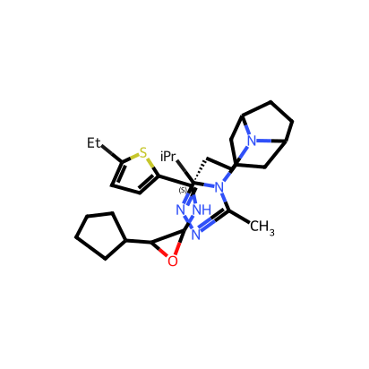 CCc1ccc([C@H](CCN2C3CCC2CC(n2c(C)nnc2C(C)C)C3)NC2OC2C2CCCC2)s1